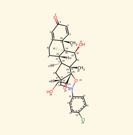 C[C@]12C=CC(=O)C=C1CC[C@H]1[C@@H]3C[C@H]4CN(c5ccc(Cl)cc5)O[C@@]4(C(=O)CO)[C@@]3(C)C[C@H](O)[C@@]12F